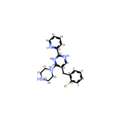 Fc1ccccc1Cc1cnc(-c2ccccn2)nc1N1CCNCC1